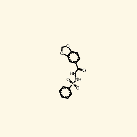 O=C(NNS(=O)(=O)c1ccccc1)c1ccc2c(c1)OCO2